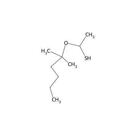 CCCCC(C)(C)OC(C)S